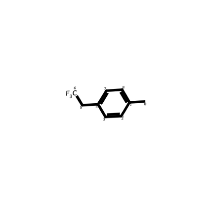 Cc1[c]cc(CC(F)(F)F)cc1